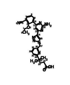 CCOc1c(C#N)cccc1-c1cc(-c2cn(Cc3cccc(C(C)(C)CCC(=O)O)n3)nn2)nc(N)n1